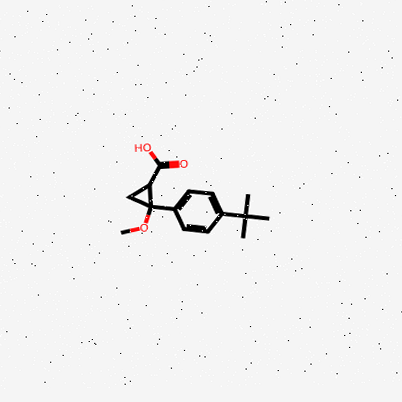 COC1(c2ccc(C(C)(C)C)cc2)CC1C(=O)O